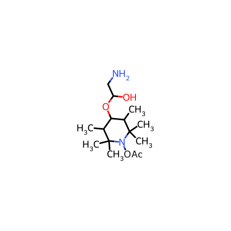 CC(=O)ON1C(C)(C)C(C)C(OC(O)CN)C(C)C1(C)C